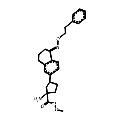 COOC(=O)C1(N)CCC(c2ccc3c(c2)CCC/C3=N\OCCc2ccccc2)C1